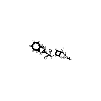 C[C@]1(OPI)C[C@H](CS(=O)(=O)c2nc3ccccc3s2)C1